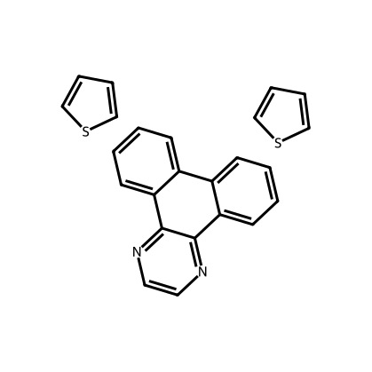 c1ccc2c(c1)c1ccccc1c1nccnc21.c1ccsc1.c1ccsc1